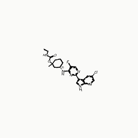 CCNC(=O)OC1(C)CCC[C@H](Nc2nc(-c3c[nH]c4ncc(Cl)cc34)ncc2F)C1